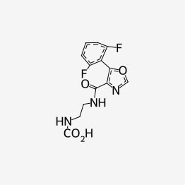 O=C(O)NCCNC(=O)c1ncoc1-c1c(F)cccc1F